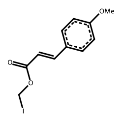 COc1ccc(C=CC(=O)OCI)cc1